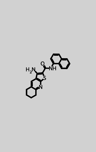 Nc1c(C(=O)Nc2cccc3ccccc23)sc2nc3c(cc12)CCCC3